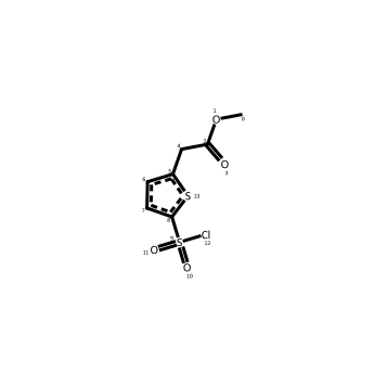 COC(=O)Cc1ccc(S(=O)(=O)Cl)s1